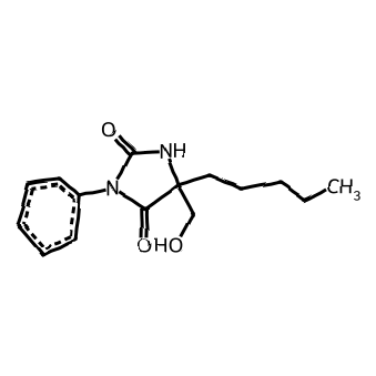 CCCCCC1(CO)NC(=O)N(c2ccccc2)C1=O